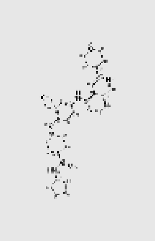 CCc1cc(Nc2ncnc3cnc(N4CCOCC4)cc23)ccc1OC1CCN(C(=O)NC2CCCC2)CC1